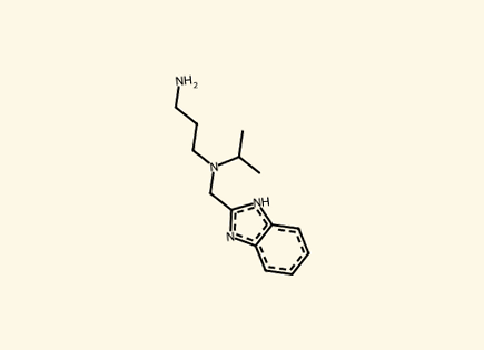 CC(C)N(CCCN)Cc1nc2ccccc2[nH]1